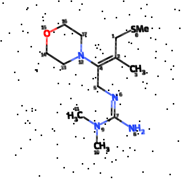 CSCC(C)=C(CN=C(N)N(C)C)N1CCOCC1